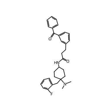 CN(C)C1(Cc2ccccc2F)CCC(NC(=O)CCc2cccc(C(=O)c3ccccc3)c2)CC1